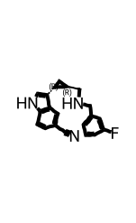 N#Cc1ccc2[nH]cc([C@@H]3C[C@H]3CNCc3cccc(F)c3)c2c1